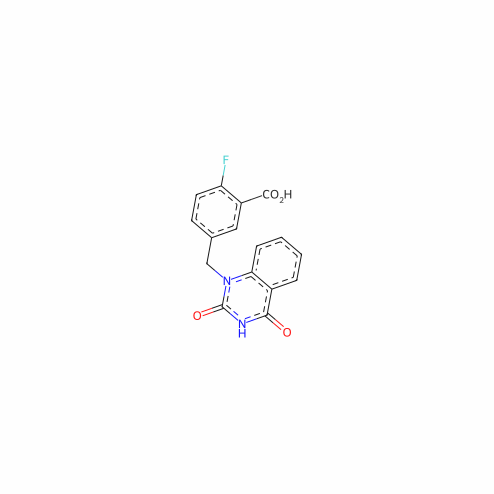 O=C(O)c1cc(Cn2c(=O)[nH]c(=O)c3ccccc32)ccc1F